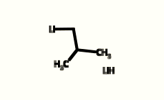 [LiH].[Li][CH2]C(C)C